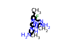 C=C(Nc1ncccc1N1CCC(C)(N)CC1)c1nc(-c2nccc(CCC)c2F)cnc1N